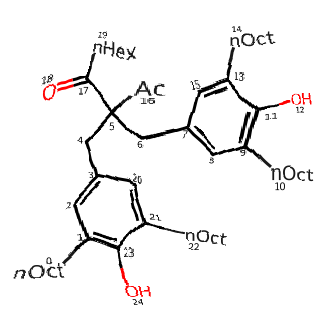 CCCCCCCCc1cc(CC(Cc2cc(CCCCCCCC)c(O)c(CCCCCCCC)c2)(C(C)=O)C(=O)CCCCCC)cc(CCCCCCCC)c1O